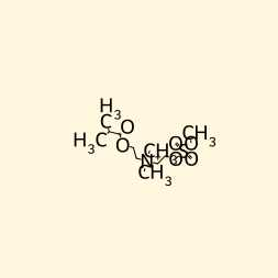 COS(=O)(=O)OCC[N+](C)(C)CCOC(=O)C(C)C